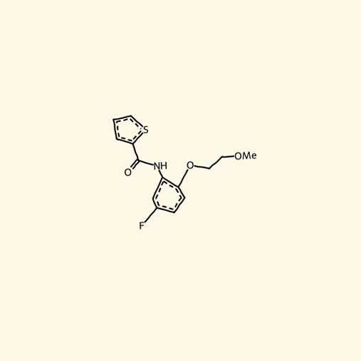 COCCOc1ccc(F)cc1NC(=O)c1cccs1